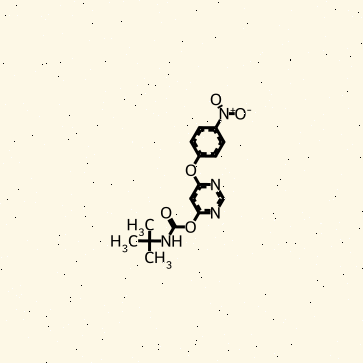 CC(C)(C)NC(=O)Oc1cc(Oc2ccc([N+](=O)[O-])cc2)ncn1